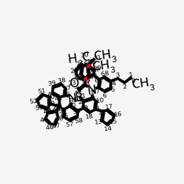 CCCCc1ccc(N2c3cc(-c4ccccc4)cc4c3B(c3oc5ccc(C(C)(C)C)cc5c32)N2c3ccccc3C(c3ccccc3)(c3ccccc3)c3cccc-4c32)c(-c2ccccc2)c1